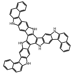 c1ccc2c(c1)ccc1[nH]c3cc4c(cc3c12)[nH]c1c4c2[nH]c3cc4c(cc3c2c2[nH]c3cc5c(cc3c12)[nH]c1ccc2ccccc2c15)[nH]c1ccc2ccccc2c14